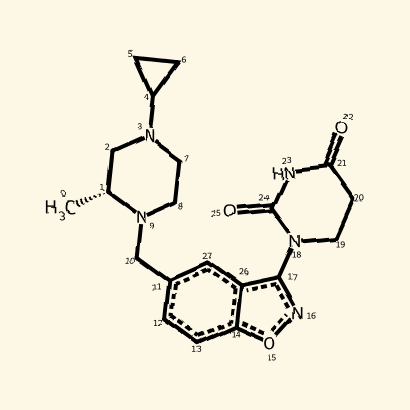 C[C@@H]1CN(C2CC2)CCN1Cc1ccc2onc(N3CCC(=O)NC3=O)c2c1